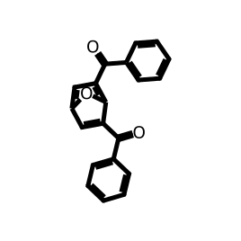 O=C(c1ccccc1)c1cc2cc(C(=O)c3ccccc3)c1o2